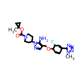 Cn1nnnc1C1=CC(F)C(OCc2cnn(C3CCN(C(=O)OC4(C)CC4)CC3)c2N)C=C1